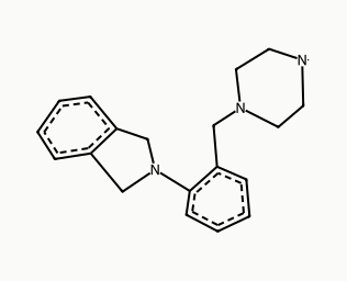 c1ccc2c(c1)CN(c1ccccc1CN1CC[N]CC1)C2